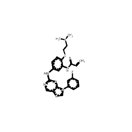 C=CC(=O)Nc1cc(Nc2ncc3ncn(-c4cccc(F)c4)c3n2)ccc1OCCN(C)C